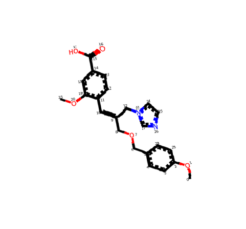 COc1ccc(COCC(=Cc2ccc(C(=O)O)cc2OC)Cn2ccnc2)cc1